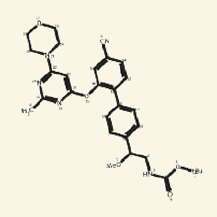 COC(CNC(=O)OC(C)(C)C)c1ccc(-c2ccc(C#N)cc2Oc2cc(N3CCOCC3)nc(C)n2)cc1